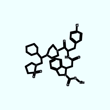 CC(C)(C)OC(=O)N1Cc2ccccc2C1CC(=O)NC(Cc1ccc(Cl)cc1)C(=O)N1CCN(C(CN2CCCS2(=O)=O)C2CCCCC2)CC1